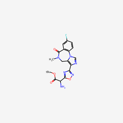 CN1Cc2c(-c3noc(C(N)C(=O)OC(C)(C)C)n3)ncn2-c2ccc(F)cc2C1=O